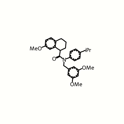 COc1cc(CN(C(=O)C2CCCc3ccc(OC)cc32)c2ccc(C(C)C)cc2)cc(OC)c1